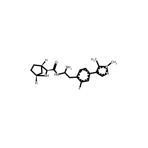 Cc1c(-c2ccc(CC(N)NC(=O)[C@H]3N[C@@H]4CC[C@H]3C4)c(F)c2)cnn1C